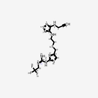 C#CCNc1nsnc1NCCSCc1csc(N/C(N)=N\CC(F)(F)F)n1